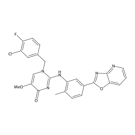 COc1cn(Cc2ccc(F)c(Cl)c2)c(Nc2cc(-c3nc4ncccc4o3)ccc2C)nc1=O